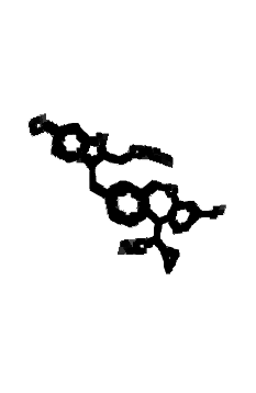 COCc1nc2cc(Cl)ccn2c1Cc1ccc2c(c1)COc1cc(F)ccc1C2=C(C#N)C1CC1